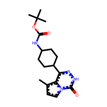 Cc1ccn2c(=O)[nH]nc(C3CCC(NC(=O)OC(C)(C)C)CC3)c12